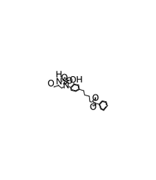 O=CC1CN(c2ccc(CCCCS(=O)(=O)c3ccccc3)cc2O)S(=O)(=O)N1